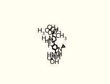 CC(CC(=N)c1cc(NC2CC2)c(C(=O)NNC(=O)O)cc1F)C(N)C(=O)OC(C)(C)C